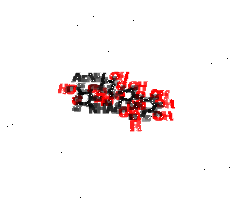 CC(=O)NC1C(O)[C@H](O[C@@H]2OC(CO)[C@@H](O)C(O[C@H]3OC(CO)[C@@H](O)C(O)C3O)C2O)C(CO)O[C@H]1O[C@@H]1C(CO)O[C@@H](C)C(NC(C)=O)C1O